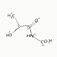 CC(O)C(=O)NC(=O)O